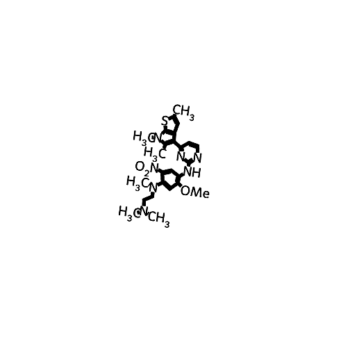 COc1cc(N(C)CCN(C)C)c([N+](=O)[O-])cc1Nc1nccc(-c2c(C)n(C)c3sc(C)cc23)n1